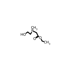 CCOC(=O)CN(C)CCO